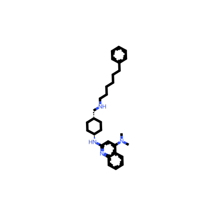 CN(C)c1cc(N[C@H]2CC[C@@H](CNCCCCCCc3ccccc3)CC2)nc2ccccc12